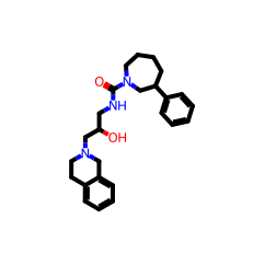 O=C(NCC(O)CN1CCc2ccccc2C1)N1CCCCC(c2ccccc2)C1